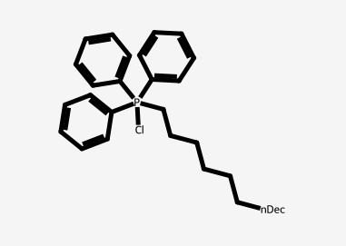 CCCCCCCCCCCCCCCCP(Cl)(c1ccccc1)(c1ccccc1)c1ccccc1